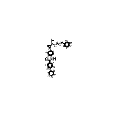 O=C(Nc1ccc([C@@H]2C[C@H]2NCCOCc2ccccc2)cc1)c1ccc(-c2ccccc2)cc1